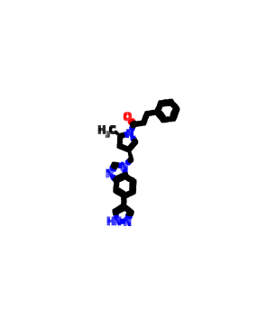 C[C@H]1C[C@H](Cn2cnc3cc(-c4cn[nH]c4)ccc32)CN1C(=O)CCc1ccccc1